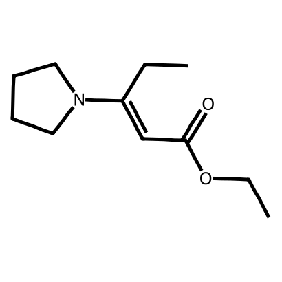 CCOC(=O)/C=C(\CC)N1CCCC1